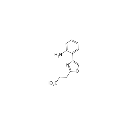 Nc1ccccc1-c1coc(CCC(=O)O)n1